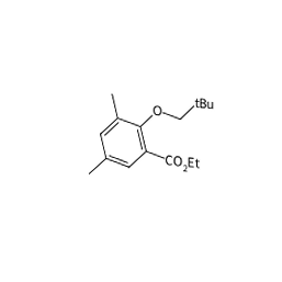 CCOC(=O)c1cc(C)cc(C)c1OCC(C)(C)C